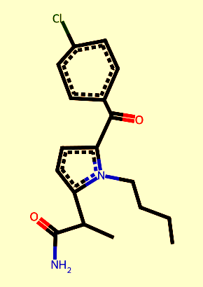 CCCCn1c(C(=O)c2ccc(Cl)cc2)ccc1C(C)C(N)=O